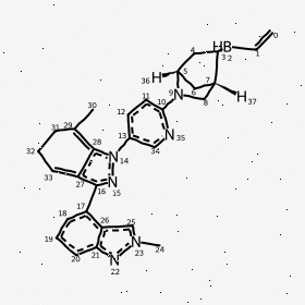 C=CBC1C[C@@H]2C[C@H]1CN2c1ccc(-n2nc(-c3cccc4nn(C)cc34)c3c2=C(C)CCC=3)cn1